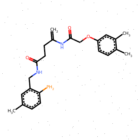 C=C(CCC(=O)NCc1cc(C)ccc1P)NC(=O)COc1ccc(C)c(C)c1